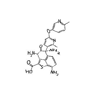 Cc1ccc(Oc2ccc(C3(N)C(=O)C(N)c4c(C(=O)O)sc5c(N)ccc3c45)c(C)n2)cn1